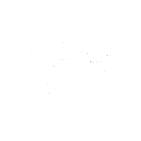 NC(N)=NC(=O)c1ccc2c3ccccc3n(CC3CCCCO3)c2c1